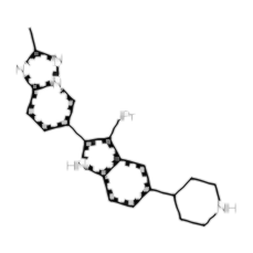 Cc1nc2ccc(-c3[nH]c4ccc(C5CCNCC5)cc4c3C(C)C)cn2n1